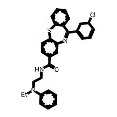 CCN(CCNC(=O)c1ccc2c(c1)N=C(C1=CC=CC(Cl)C1)c1ccccc1S2)c1ccccc1